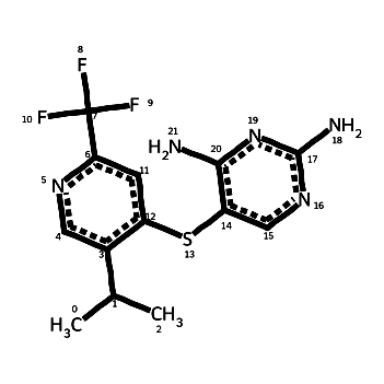 CC(C)c1cnc(C(F)(F)F)cc1Sc1cnc(N)nc1N